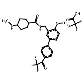 CNC1CCC(C(=O)NCc2cc(-c3ccc(C(=O)C(F)(F)F)cc3)ccc2OC)CC1.O=C(O)C(F)(F)F